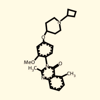 COc1cc(OC2CCN(C3CCC3)CC2)ccc1-n1c(C)nc2cccc(C)c2c1=O